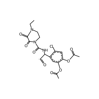 CCN1CCN(C(=O)NC([C]=O)c2cc(OC(C)=O)c(OC(C)=O)cc2Cl)C(=O)C1=O